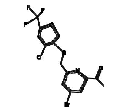 CC(=O)c1cc(Br)cc(COc2ccc(C(F)(F)F)cc2Cl)n1